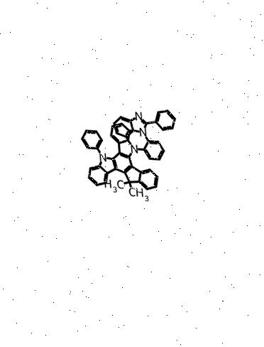 CC1(C)c2ccccc2-c2c1c1c3ccccc3n(-c3ccccc3)c1c1c3ccccc3n(-c3ccccc3-n3c(-c4ccccc4)nc4ccccc43)c21